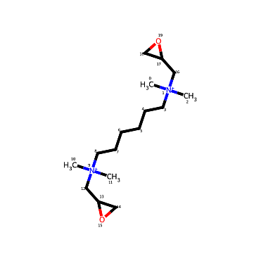 C[N+](C)(CCCCCC[N+](C)(C)CC1CO1)CC1CO1